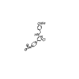 COc1ccc(CNc2cc(N3CCN(C[SH](=O)=O)CC3)cc(Cl)n2)cc1